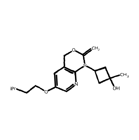 C=C1OCc2cc(OCCC(C)C)cnc2N1C1CC(C)(O)C1